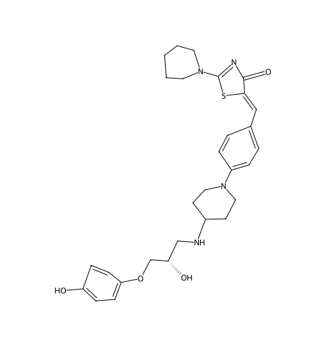 O=C1N=C(N2CCCCC2)SC1=Cc1ccc(N2CCC(NC[C@H](O)COc3ccc(O)cc3)CC2)cc1